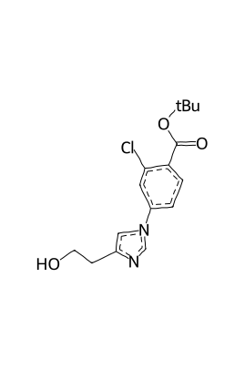 CC(C)(C)OC(=O)c1ccc(-n2cnc(CCO)c2)cc1Cl